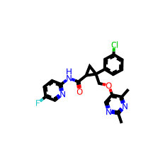 Cc1ncc(OCC2(c3cccc(Cl)c3)CC2C(=O)Nc2ccc(F)cn2)c(C)n1